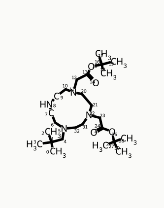 CC(C)(C)CN1CCNCCN(CC(=O)OC(C)(C)C)CCN(CC(=O)OC(C)(C)C)CC1